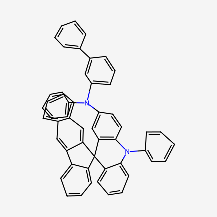 c1ccc(-c2cccc(N(c3ccccc3)c3ccc4c(c3)C3(c5ccccc5-c5cc6ccccc6cc53)c3ccccc3N4c3ccccc3)c2)cc1